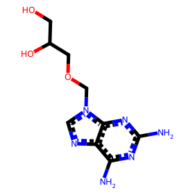 Nc1nc(N)c2ncn(COCC(O)CO)c2n1